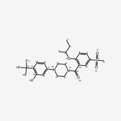 CCC(C)Oc1ccc(S(C)(=O)=O)cc1C(=O)N1CCN(c2ccc(C(F)(F)F)c(F)c2)CC1